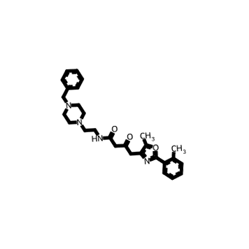 Cc1ccccc1-c1nc(CC(=O)CC(=O)NCCN2CCN(Cc3ccccc3)CC2)c(C)o1